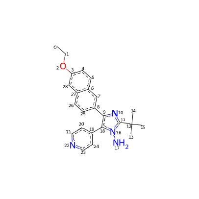 CCOc1ccc2cc(-c3nc(C(C)(C)C)n(N)c3-c3ccncc3)ccc2c1